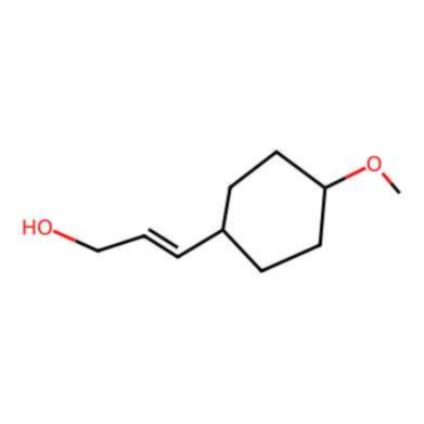 COC1CCC(C=CCO)CC1